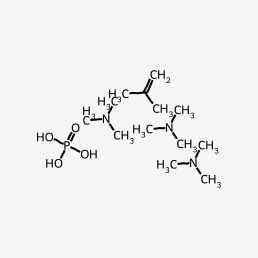 C=C(C)C.CN(C)C.CN(C)C.CN(C)C.O=P(O)(O)O